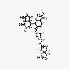 CCS(=O)(=O)c1ccc(OC2CC(CCN3CCC4(CCNC4)C3)C2)c(-c2cn(C)c(=O)c3[nH]ccc23)c1